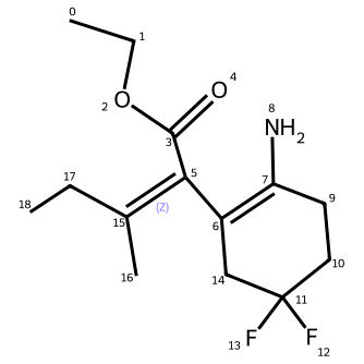 CCOC(=O)/C(C1=C(N)CCC(F)(F)C1)=C(/C)CC